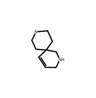 C1=CC2(CC[N]CC2)CNC1